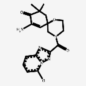 CC1(C)CC2(C=C(N)C1=O)CN(C(=O)c1nc3cccc(Cl)n3n1)CCO2